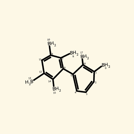 Bc1cccc(-c2c(B)c(B)cc(B)c2B)c1B